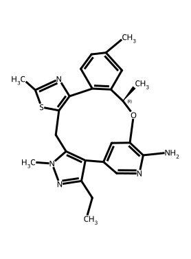 CCc1nn(C)c2c1-c1cnc(N)c(c1)O[C@H](C)c1cc(C)ccc1-c1nc(C)sc1C2